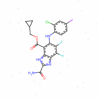 NC(=O)c1nc2c(F)c(F)c(Nc3ccc(I)cc3Cl)c(C(=O)OCC3CC3)c2[nH]1